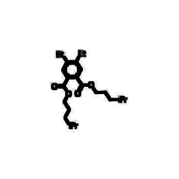 CCc1cc(C(=O)OCCCC(C)C)c(C(=O)OCCCC(C)C)cc1CC